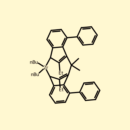 CCC[CH2][Zr]1([CH2]CCC)[CH]2C(CC)=C(c3c(-c4ccccc4)cccc32)C(C)(C)C2=C(CC)[CH]1c1cccc(-c3ccccc3)c12